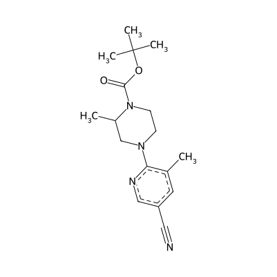 Cc1cc(C#N)cnc1N1CCN(C(=O)OC(C)(C)C)C(C)C1